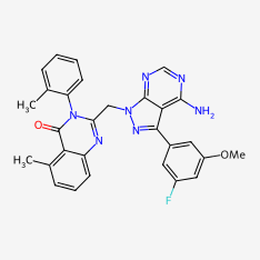 COc1cc(F)cc(-c2nn(Cc3nc4cccc(C)c4c(=O)n3-c3ccccc3C)c3ncnc(N)c23)c1